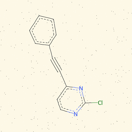 Clc1nccc(C#Cc2ccccc2)n1